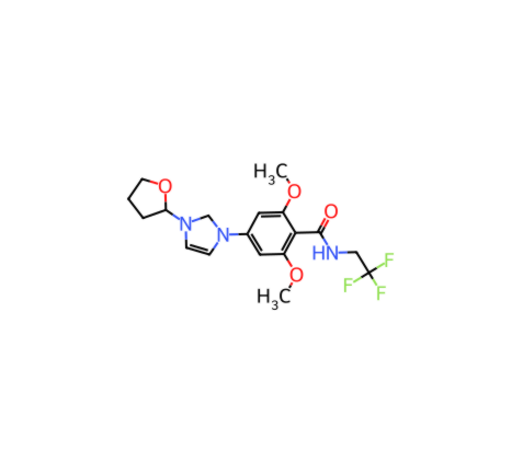 COc1cc(N2C=CN(C3CCCO3)C2)cc(OC)c1C(=O)NCC(F)(F)F